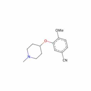 COc1ccc(C#N)cc1OC1CCN(C)CC1